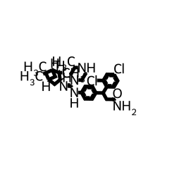 C[C@H]1[C@@H](/N=C(/Nc2ccc(C(CC(N)=O)c3ccc(Cl)cc3Cl)cc2)N2CCN[C@@H](C)C2)C[C@@H]2C[C@@H]1C2(C)C